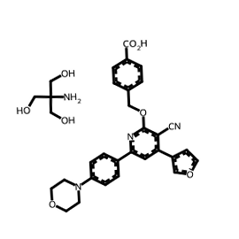 N#Cc1c(-c2ccoc2)cc(-c2ccc(N3CCOCC3)cc2)nc1OCc1ccc(C(=O)O)cc1.NC(CO)(CO)CO